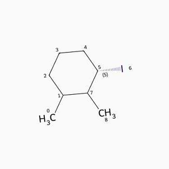 CC1CCC[C@H](I)C1C